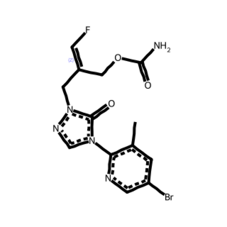 Cc1cc(Br)cnc1-n1cnn(C/C(=C/F)COC(N)=O)c1=O